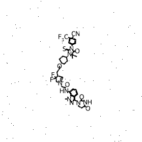 Cn1nc(N2CCC(=O)NC2=O)c2cccc(NC(=O)CN3CCC(CCO[C@H]4CC[C@H](N5C(=S)N(c6ccc(C#N)c(C(F)(F)F)c6)C(=O)C5(C)C)CC4)C(F)(F)C3)c21